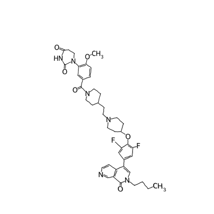 CCCCn1cc(-c2cc(F)c(OC3CCN(CCC4CCN(C(=O)c5ccc(OC)c(N6CCC(=O)NC6=O)c5)CC4)CC3)c(F)c2)c2ccncc2c1=O